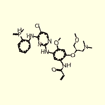 C=CC(=O)Nc1cc(Nc2ncc(Cl)c(Nc3ccccc3[PH](=C)C)n2)c(OC)cc1O[C@@H](COC)CN(C)C